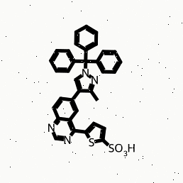 Cc1nn(C(c2ccccc2)(c2ccccc2)c2ccccc2)cc1-c1ccc2ncnc(-c3ccc(S(=O)(=O)O)s3)c2c1